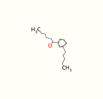 CCCCCC(=O)c1cccc(CCCCC)c1